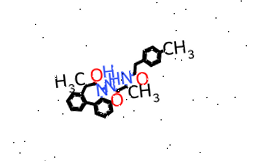 Cc1ccc(CC(=O)N[C@@H](C)C(=O)NN2C(=O)C(C)c3ccccc3-c3ccccc32)cc1